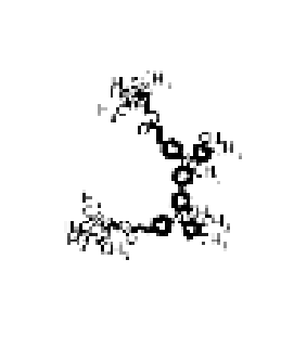 Cc1ccc(N(c2ccc(CCC(=O)OCC[Si](C)(OC(C)C)OC(C)C)cc2)c2ccc(-c3ccc(N(c4ccc(CCC(=O)OCC[Si](C)(OC(C)C)OC(C)C)cc4)c4ccc(C)c(C)c4)c(C)c3)cc2C)cc1C